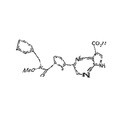 CON(Cc1ccccc1)C(=O)c1ccc(-c2cnc3[nH]cc(C(=O)O)c3n2)s1